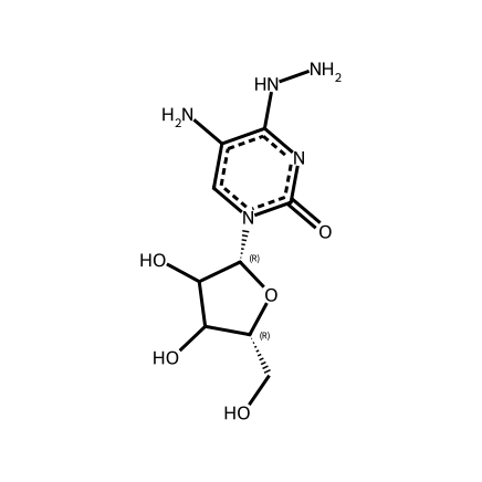 NNc1nc(=O)n([C@@H]2O[C@H](CO)C(O)C2O)cc1N